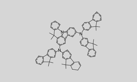 CC1(C)C2=C(C=CCC2)c2ccc(N(c3ccc4c(c3)C(C)(C)c3ccccc3-4)c3cc4c5c(c3)c3cc(N(c6ccc7c(c6)C(C)(C)c6ccccc6-7)c6ccc7c(c6)C(C)(C)c6ccccc6-7)ccc3n5-c3ccccc3C4(C)C)cc21